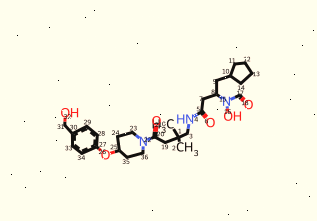 CC(C)(CNC(=O)CC(CC1CCCC1)N(O)C=O)CC(=O)N1CCC(Oc2ccc(CO)cc2)CC1